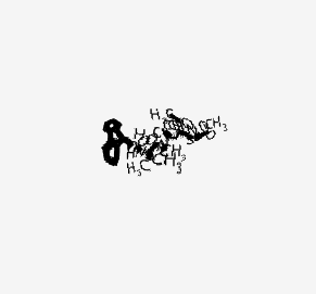 COC(=O)c1csc([C@@H](C[C@H](C(C)C)N(C)C(=O)[C@@H](NC(=O)OCC2c3ccccc3-c3ccccc32)C(C)C)OC(C)=O)n1